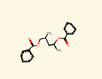 CC(COC(=O)c1ccccc1)CC(C)OC(=O)c1ccccc1